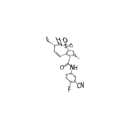 C=C[C@@H]1C=Cc2c(cn(C)c2C(=O)Nc2ccc(F)c(C#N)c2)S(=O)(=O)N1